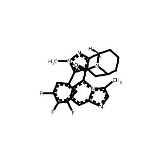 Cc1cnc2cccc(C(=O)N3C4CCC[C@H]3c3nn(C)c(-c5cc(F)c(F)c(F)c5)c3C4)n12